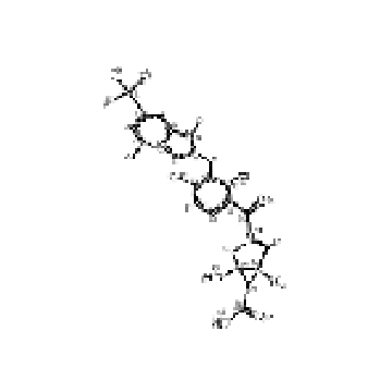 Cc1cc(C(F)(F)F)cc2c1cc(Cc1c(Cl)ccc(C(=O)N3C[C@@H]4C(C(=O)O)[C@]4(O)C3)c1Cl)n2C